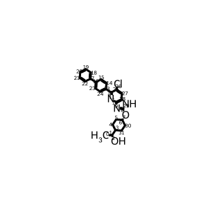 CC(O)C1CCC(Oc2nc3nc(-c4ccc(-c5ccccc5)cc4)c(Cl)cc3[nH]2)CC1